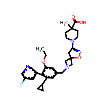 CCOc1cc(CN2CC3(CC(N4CCC(C)(C(=O)O)CC4)=NO3)C2)cc(C2CC2)c1-c1cncc(F)c1